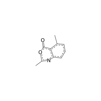 Cc1nc2cccc(C)c2c(=O)o1